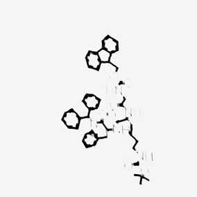 CC(C)(C)OC(=O)NCCCC[C@H](NC(=O)CNC(=O)OCC1c2ccccc2-c2ccccc21)C(=O)N[C@@H](Cc1ccccc1)C(=O)NC(c1ccccc1)c1ccccc1